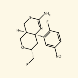 NC1=N[C@@]2(c3cc(N=O)ccc3F)C[C@H](CF)OC[C@H]2CS1